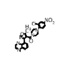 Cc1onc(-c2cccc3nccnc23)c1C(=O)N1CCN(c2ccc([N+](=O)[O-])cc2Cl)CC1